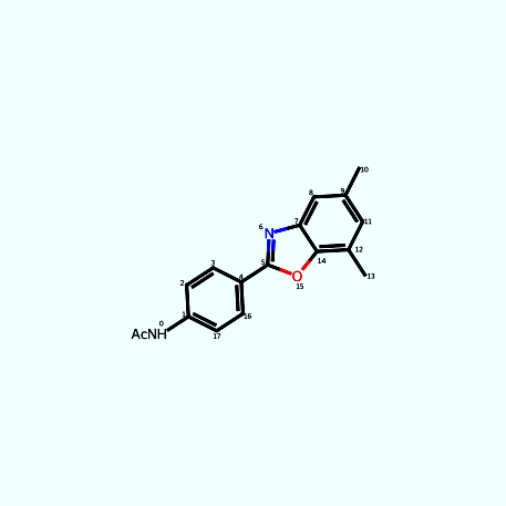 CC(=O)Nc1ccc(-c2nc3cc(C)cc(C)c3o2)cc1